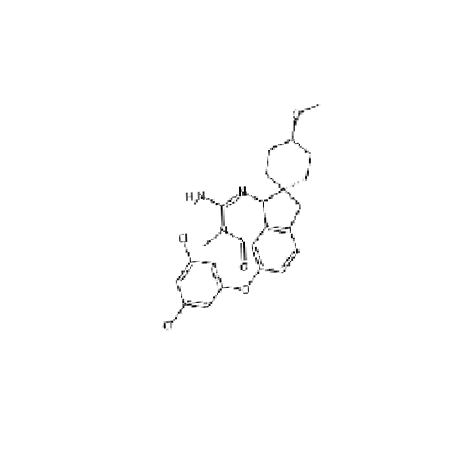 CO[C@H]1CC[C@]2(CC1)Cc1ccc(Oc3cc(Cl)cc(Cl)c3)cc1C2/N=C(/N)N(C)C=O